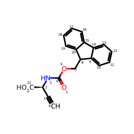 C#C[C@H](NC(=O)OCC1c2ccccc2-c2ccccc21)C(=O)O